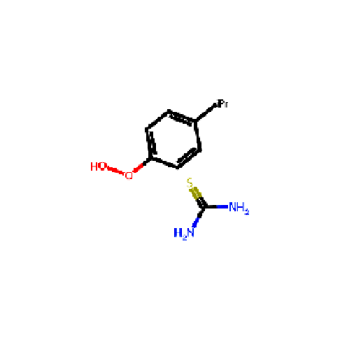 CC(C)c1ccc(OO)cc1.NC(N)=S